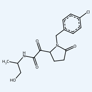 CC(CO)NC(=O)C(=O)C1CCC(=O)N1Cc1ccc(Cl)cc1